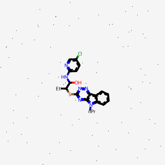 CCCn1c2ccccc2c2nnc(SC(CC)C(O)Nc3ccc(Cl)cn3)nc21